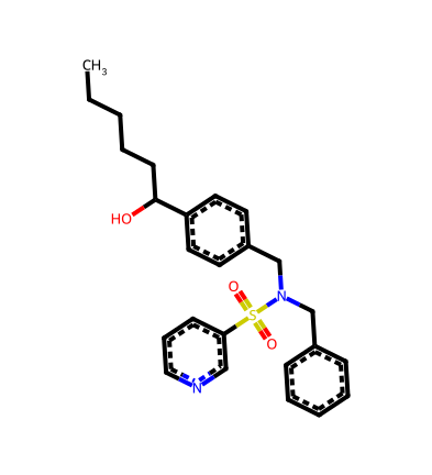 CCCCCC(O)c1ccc(CN(Cc2ccccc2)S(=O)(=O)c2cccnc2)cc1